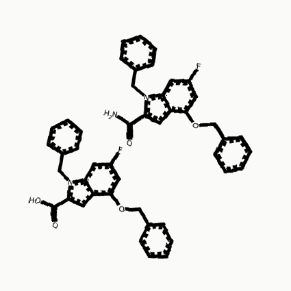 NC(=O)c1cc2c(OCc3ccccc3)cc(F)cc2n1Cc1ccccc1.O=C(O)c1cc2c(OCc3ccccc3)cc(F)cc2n1Cc1ccccc1